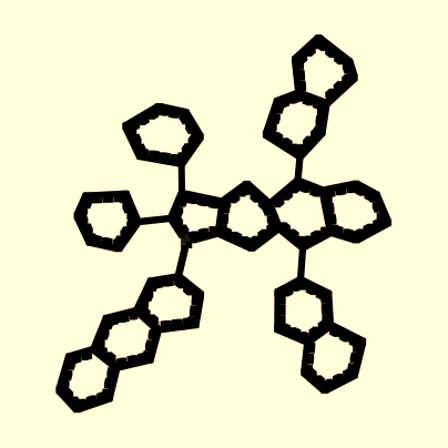 c1ccc(-c2c(-c3ccccc3)n(-c3ccc4cc5ccccc5cc4c3)c3cc4c(-c5ccc6ccccc6c5)c5ccccc5c(-c5ccc6ccccc6c5)c4cc23)cc1